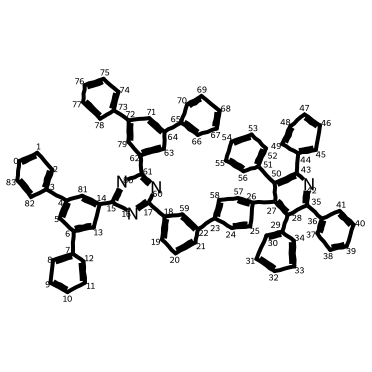 c1ccc(-c2cc(-c3ccccc3)cc(-c3nc(-c4cccc(-c5ccc(-c6c(-c7ccccc7)c(-c7ccccc7)nc(-c7ccccc7)c6-c6ccccc6)cc5)c4)nc(-c4cc(-c5ccccc5)cc(-c5ccccc5)c4)n3)c2)cc1